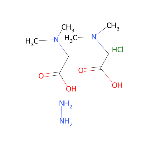 CN(C)CC(=O)O.CN(C)CC(=O)O.Cl.NN